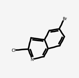 Clc1cc2cc(Br)ccc2cn1